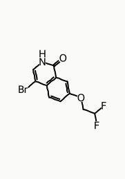 O=c1[nH]cc(Br)c2ccc(OCC(F)F)cc12